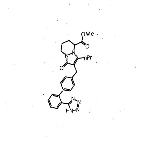 CCCc1c(Cc2ccc(-c3ccccc3-c3nnn[nH]3)cc2)c(=O)n2n1C(C(=O)OC)CCC2